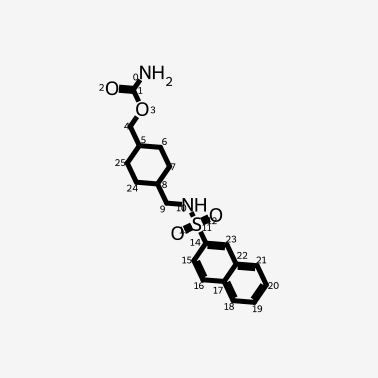 NC(=O)OCC1CCC(CNS(=O)(=O)c2ccc3ccccc3c2)CC1